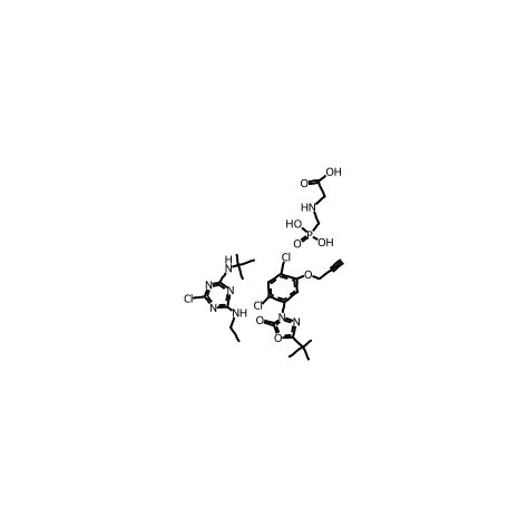 C#CCOc1cc(-n2nc(C(C)(C)C)oc2=O)c(Cl)cc1Cl.CCNc1nc(Cl)nc(NC(C)(C)C)n1.O=C(O)CNCP(=O)(O)O